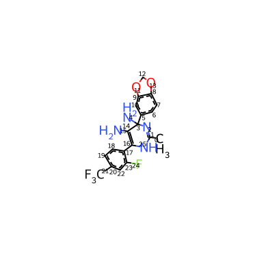 CC1=NC(N)(c2ccc3c(c2)OCO3)C(N)=C(c2ccc(C(F)(F)F)cc2F)N1